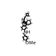 COc1ccc(CNc2ccc3c(c2)[C@@]24CCCCC2[C@@H](C3)N(CC2CCC2)CC4)cc1